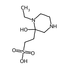 CCN1CCNCC1(O)CCS(=O)(=O)O